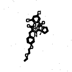 CCOCCOc1ccc(CC(NC(=O)[C@]2(C)CCCN2S(=O)(=O)c2cc(Cl)cc(Cl)c2)C(=O)O)cc1